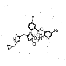 C[C@@H](Oc1cc(Br)cnc1[N+](=O)[O-])c1cc(F)ccc1-n1nc(Cl)cc1Cc1cn(CC2CC2)nn1